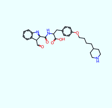 O=CC1C(C(=O)NC(Cc2ccc(OCCCCC3CCNCC3)cc2)C(=O)O)=Nc2ccccc21